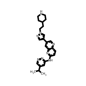 CC(C)c1cnnc(Nc2ccc3ncc(-c4cnn(CCC5CCNCC5)c4)cc3n2)c1